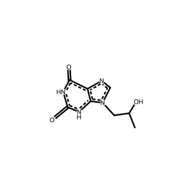 CC(O)Cn1cnc2c(=O)[nH]c(=O)[nH]c21